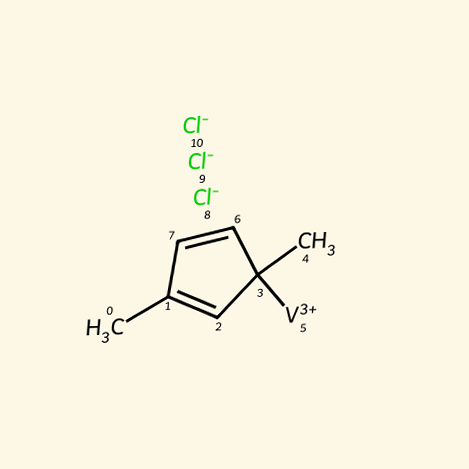 CC1=C[C](C)([V+3])C=C1.[Cl-].[Cl-].[Cl-]